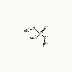 CCCCOP(=O)(OC)OCCC